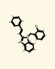 Fc1ccccc1Cn1c(/C=C/c2ccccc2)nc2ccccc21